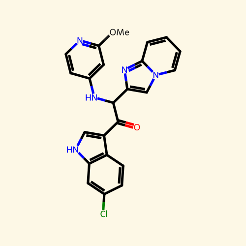 COc1cc(NC(C(=O)c2c[nH]c3cc(Cl)ccc23)c2cn3ccccc3n2)ccn1